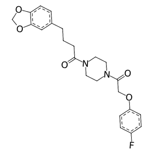 O=C(CCCc1ccc2c(c1)OCO2)N1CCN(C(=O)COc2ccc(F)cc2)CC1